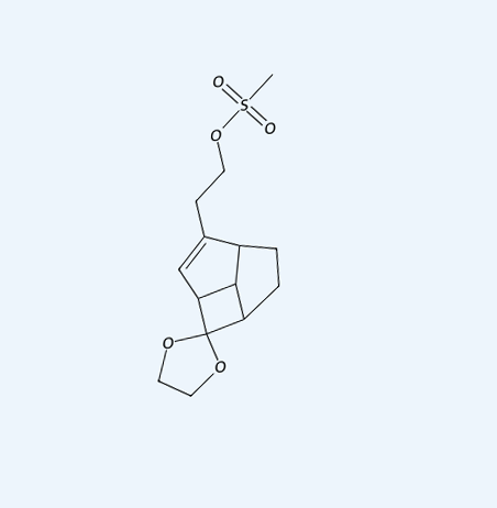 CS(=O)(=O)OCCC1=CC2C3C1CCC3C21OCCO1